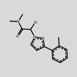 CCC(C(=O)N(C)C)n1ccc(-c2ccccc2C)n1